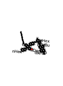 C#CC#CC#CC#CC#COc1ccc2c(-c3ccc4cc(/C=C/c5cc(C)cc6c(CCCCCC)cc(S(=O)(=O)c7ccc8c9cc(C(C)(C)C)cc%10c(S(C)(=O)=O)ccc(c%11cc(C(C)(C)C)cc7c8%11)c%109)cc56)ccc4c3)c3cc(OCCCCCCCCCC)ccc3c(-c3ccc4cc(CCCCCC)ccc4c3)c2c1